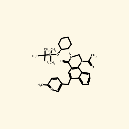 CC(=O)N1CN([C@H]2CCCC[C@@H]2O[Si](C)(C)C(C)(C)C)C(=O)c2cc(Cc3ccc(C)nc3)c3ccccc3c21